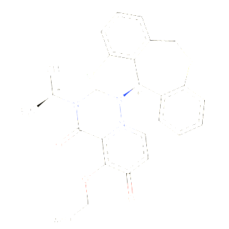 CC(=O)OCOc1c2n(ccc1=O)N([C@@H]1c3ccccc3SCc3cccc(Cl)c31)CN([C@H](C)C(F)(F)F)C2=O